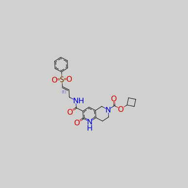 O=C(NC/C=C/S(=O)(=O)c1ccccc1)c1cc2c([nH]c1=O)CCN(C(=O)OC1CCC1)C2